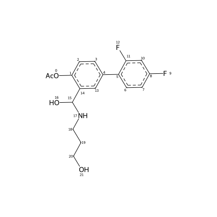 CC(=O)Oc1ccc(-c2ccc(F)cc2F)cc1C(O)NCCCO